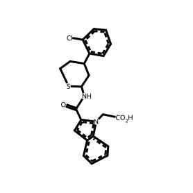 O=C(O)Cn1c(C(=O)NC2CC(c3ccccc3Cl)CCS2)cc2ccccc21